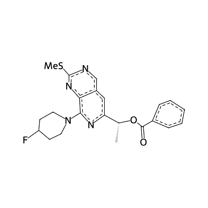 CSc1ncc2cc([C@@H](C)OC(=O)c3ccccc3)nc(N3CCC(F)CC3)c2n1